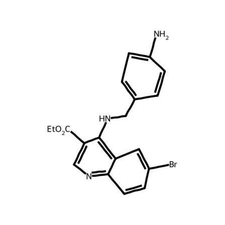 CCOC(=O)c1cnc2ccc(Br)cc2c1NCc1ccc(N)cc1